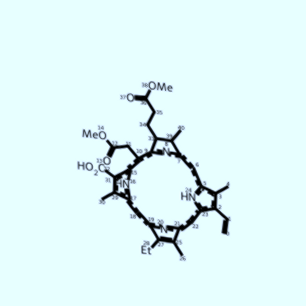 C=Cc1c(C)c2cc3nc(c(CC(=O)OC)c4[nH]c(cc5nc(cc1[nH]2)C(C)=C5CC)c(C)c4C(=O)O)C(CCC(=O)OC)C3C